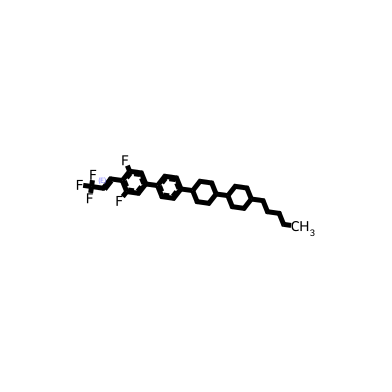 CCCCCC1CCC(C2CCC(c3ccc(-c4cc(F)c(/C=C/C(F)(F)F)c(F)c4)cc3)CC2)CC1